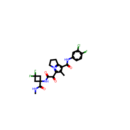 CNC(=O)C1(NC(=O)C(=O)c2c(C)c(C(=O)Nc3ccc(F)c(Cl)c3)c3n2CCC3)CC(F)(F)C1